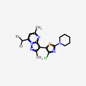 CCC(CC)c1cc(C)nc2c(-c3sc(N4CCCCC4)nc3Cl)c(C)nn12